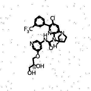 O=C(Nc1cncc(OC[C@@H](O)CO)c1)N1c2nc(-c3cccc(C(F)(F)F)c3)c(Cl)cc2N2CC[C@H]1C2